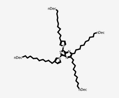 CCCCCCCCCCCCCCCCCCCCC1=C[S](c2sc([S]3C=CC(CCCCCCCCCCCCCCCCCCCC)=C3)c3nc(CCCCCCCCCCCCCCCCCCCC)c(CCCCCCCCCCCCCCCCCCCC)nc23)C=C1